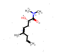 C=CC/C(C)=C\C[C@H](O)C(=O)N(C)C